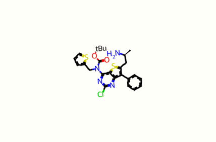 C[C@H](N)Cc1sc2c(N(Cc3cccs3)C(=O)OC(C)(C)C)nc(Cl)nc2c1-c1ccccc1